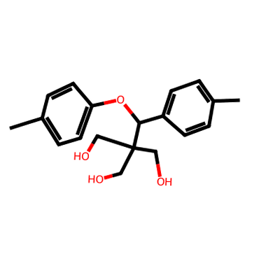 Cc1ccc(OC(c2ccc(C)cc2)C(CO)(CO)CO)cc1